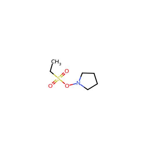 CCS(=O)(=O)ON1CCCC1